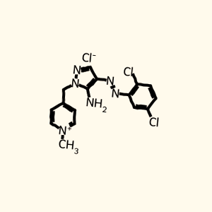 C[n+]1ccc(Cn2ncc(N=Nc3cc(Cl)ccc3Cl)c2N)cc1.[Cl-]